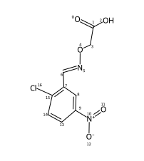 O=C(O)CON=Cc1cc([N+](=O)[O-])ccc1Cl